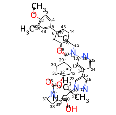 COc1ccc(C23CCC(CN(c4cc(-c5cnn(C(C)(C)C)c5)ccn4)C(=O)[C@H]4CC[C@H](OC(=O)N5CC[C@H]5CO)CC4)(CC2)CC3)cc1C